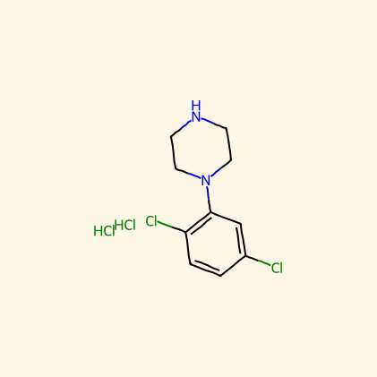 Cl.Cl.Clc1ccc(Cl)c(N2CCNCC2)c1